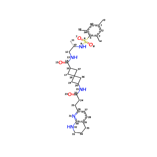 Cc1cc(C)c(S(=O)(=O)N[C@@H](C)CNC(=O)C2CC3(CC(NC(=O)CCc4ccc5c(n4)NCCC5)C3)C2)c(C)c1